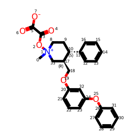 C[N+]1(OC(=O)C(=O)[O-])CC[C@H](c2ccccc2)[C@@H](COc2cccc(Oc3ccccc3)c2)C1